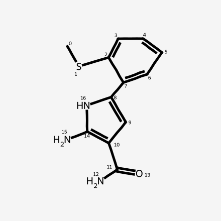 CSc1ccccc1-c1cc(C(N)=O)c(N)[nH]1